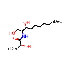 CCCCCCCCCCCCCCC[C@@H](O)[C@H](CO)NC(=O)[C@@H](O)CCCCCCCCCC